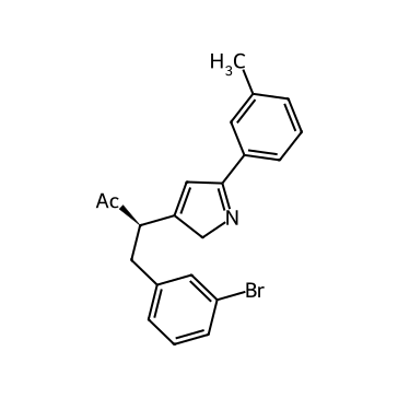 CC(=O)[C@H](Cc1cccc(Br)c1)C1=CC(c2cccc(C)c2)=NC1